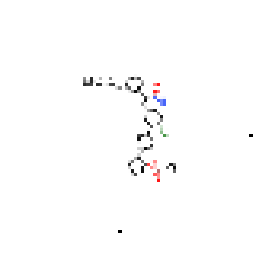 CCOC(=O)Cc1cccc(-c2cc3cc(-c4ccc(-c5ccccc5OC(=O)C5CC5)cc4)c(Cl)cc3[nH]c2=O)c1